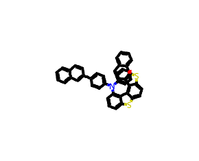 c1ccc(N(c2ccc(-c3ccc4ccccc4c3)cc2)c2cccc3sc4ccc5sc6c7ccccc7ccc6c5c4c23)cc1